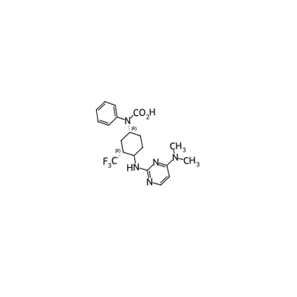 CN(C)c1ccnc(NC2CC[C@@H](N(C(=O)O)c3ccccc3)C[C@H]2C(F)(F)F)n1